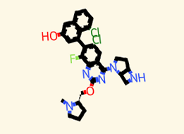 CN1CCC[C@H]1COc1nc(N2CCC3NCC32)c2cc(Cl)c(-c3cc(O)cc4cccc(Cl)c34)c(F)c2n1